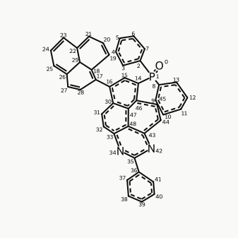 O=P(c1ccccc1)(c1ccccc1)c1cc(C2=C3C=CC=C4C=CC=C(C=C2)C43)c2ccc3nc(-c4ccccc4)nc4ccc1c2c34